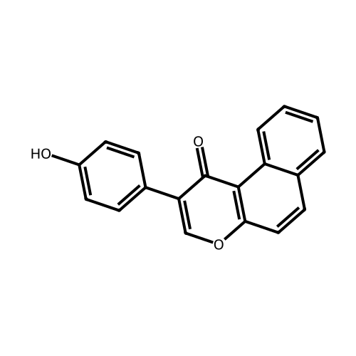 O=c1c(-c2ccc(O)cc2)coc2ccc3ccccc3c12